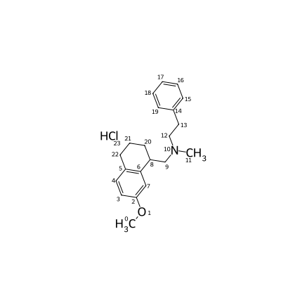 COc1ccc2c(c1)C(CN(C)CCc1ccccc1)CCC2.Cl